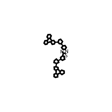 c1cc(-c2ccc3nc4sc5ccc(-c6cccc(-c7ccc8c9ccccc9c9ccccc9c8c7)c6)cc5c4nc3c2)cc(-c2ccc3c4ccccc4c4ccccc4c3c2)c1